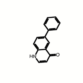 O=c1cc[nH]c2ccc(-c3ccccc3)cc12